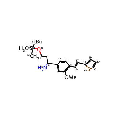 COc1cc(C(N)CCO[Si](C)(C)C(C)(C)C)ccc1C=Cc1cccs1